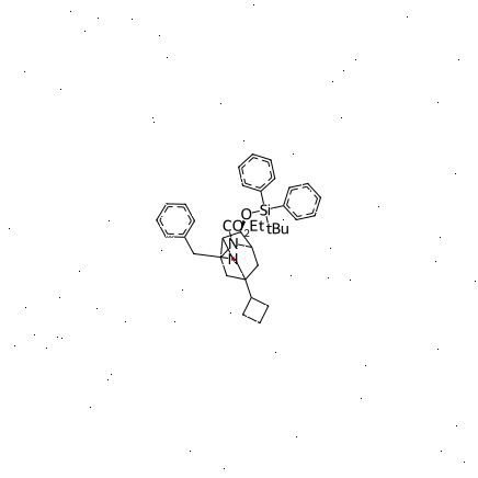 CCOC(=O)N1C2CC3(C4CCC4)CC1[C@H](O[Si](c1ccccc1)(c1ccccc1)C(C)(C)C)C2N(Cc1ccccc1)C3